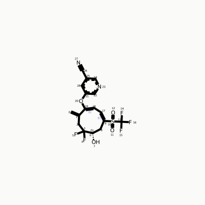 C=C1CC(F)(F)[C@@H](O)C/C(S(=O)(=O)C(F)(F)F)=C\C=C/1Oc1cncc(C#N)c1